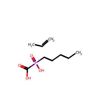 C=CC.CCCCCP(=O)(O)C(=O)O